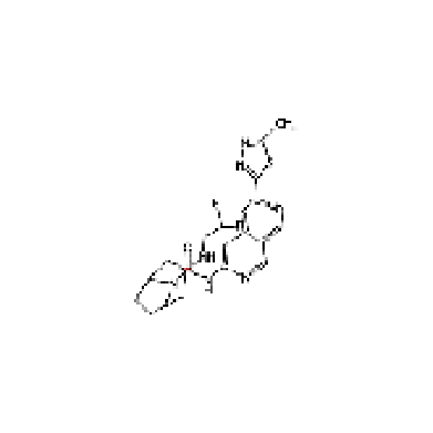 Cc1nnc(-c2cc3cc(NC(=O)N4C5CCC4CC(NCC(F)F)C5)ncc3cn2)s1